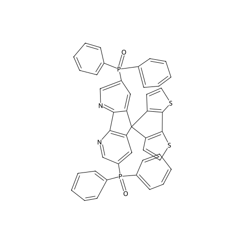 O=P(c1ccccc1)(c1ccccc1)c1cnc2c(c1)C1(c3cc(P(=O)(c4ccccc4)c4ccccc4)cnc3-2)c2ccsc2-c2sccc21